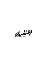 CCc1cc(-c2cncc(OC(=O)NCCc3ccccc3O)c2)c(C)[nH]c1=O